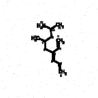 C=C/C=C(\C=C)CC(C)CC(C)N